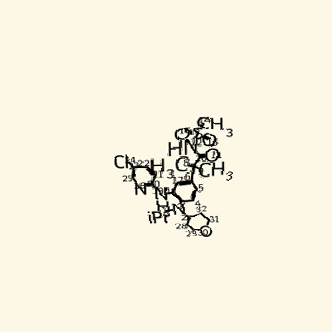 CC(C)CN(c1ccc(C(C)(C)C(=O)NS(C)(=O)=O)cc1Nc1ccc(Cl)cn1)C1CCOCC1